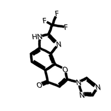 O=c1cc(-n2cncn2)oc2c1ccc1[nH]c(C(F)(F)F)nc12